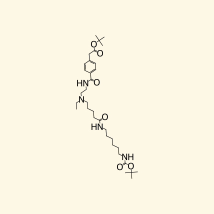 CCN(CCCCC(=O)NCCCCCCNC(=O)OC(C)(C)C)CCNC(=O)c1ccc(CC(=O)OC(C)(C)C)cc1